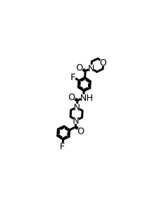 O=C(Nc1ccc(C(=O)N2CCOCC2)c(F)c1)N1CCN(C(=O)c2cccc(F)c2)CC1